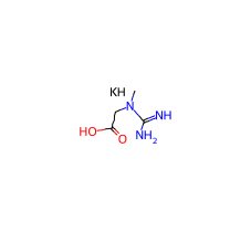 CN(CC(=O)O)C(=N)N.[KH]